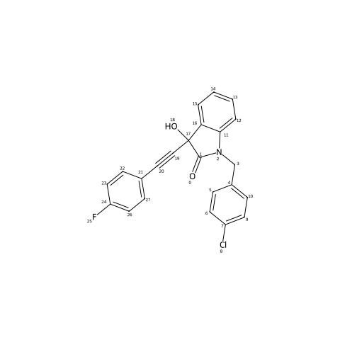 O=C1N(Cc2ccc(Cl)cc2)c2ccccc2C1(O)C#Cc1ccc(F)cc1